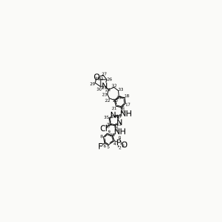 CP(C)(=O)c1cc(F)ccc1Nc1nc(Nc2ccc3c(c2)CCC(N2C4COCC2C4)CC3)ncc1Cl